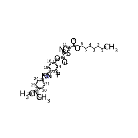 CCCCCCCOC(=O)c1cnc(C(=O)Oc2ccc(/N=N/c3ccc(N(C)C)cc3)c(F)c2)s1